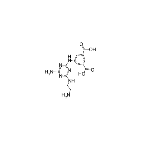 NCCNc1nc(N)nc(Nc2cc(C(=O)O)cc(C(=O)O)c2)n1